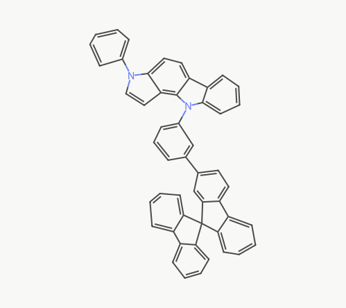 c1ccc(-n2ccc3c2ccc2c4ccccc4n(-c4cccc(-c5ccc6c(c5)C5(c7ccccc7-c7ccccc75)c5ccccc5-6)c4)c23)cc1